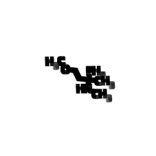 CNC(C)(P)CCOC